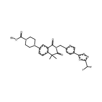 CC(C)(C)OC(=O)N1CCN(c2ccc3c(c2)C(=O)N(Cc2ccc(-c4nnc(C(F)F)o4)cn2)C(=O)C3(C)C)CC1